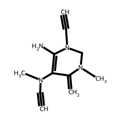 C#CN(C)C1=C(N)N(C#C)CN(C)C1=C